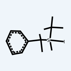 CC(C)(C)[Si](C)(I)C(C)(C)c1ccccc1